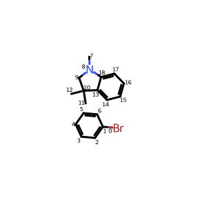 Brc1ccccc1.CN1CC(C)(C)c2ccccc21